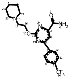 NC(=O)c1cc(-c2ccc(C(F)(F)F)cc2)nc(OCCN2CCCCC2)n1